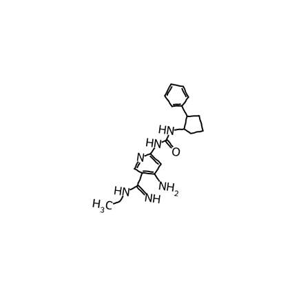 CCNC(=N)c1cnc(NC(=O)NC2CCCC2c2ccccc2)cc1N